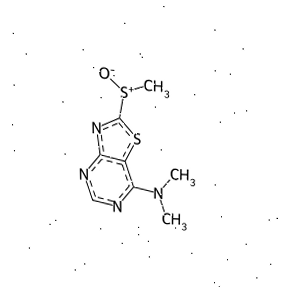 CN(C)c1ncnc2nc([S+](C)[O-])sc12